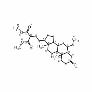 CC[C@@H]1CC2C3CCC(CCC(C(=O)OC)C(=O)OC)C3(C)CCC2C2(C)CCC(=O)CC12